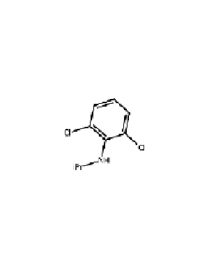 CC(C)Nc1c(Cl)cccc1Cl